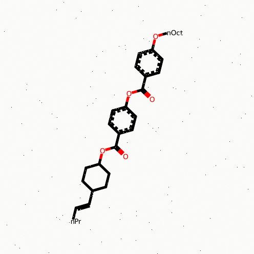 CCCC=CC1CCC(OC(=O)c2ccc(OC(=O)c3ccc(OCCCCCCCC)cc3)cc2)CC1